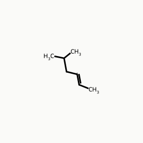 C/C=[C]/CC(C)C